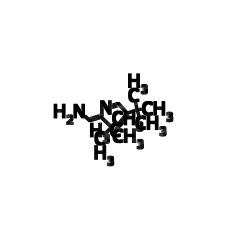 C\C=C(/C=N\C(=C/N)C(C)(C)C)C(C)(C)C